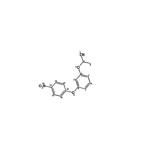 CC(C#N)Oc1cccc(Oc2ccc([N+](=O)[O-])cc2)c1